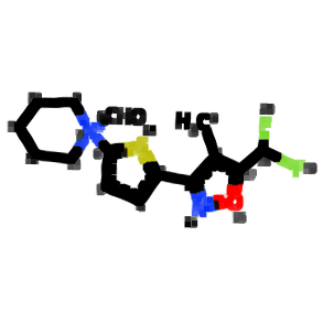 Cc1c(-c2ccc([N+]3(C=O)CCCCC3)s2)noc1C(F)F